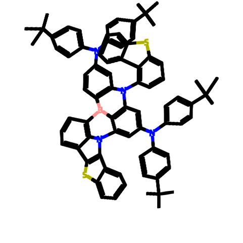 CC(C)(C)c1ccc(N(c2ccc(C(C)(C)C)cc2)c2ccc3c(c2)N(c2cccc4sc5ccccc5c24)c2cc(N(c4ccc(C(C)(C)C)cc4)c4ccc(C(C)(C)C)cc4)cc4c2B3c2cccc3c5sc6ccccc6c5n-4c23)cc1